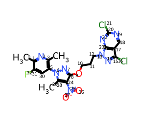 Cc1nc(C)c(-n2nc(OCCCn3nc(Cl)c4cnc(Cl)nc43)c([N+](=O)[O-])c2C)cc1F